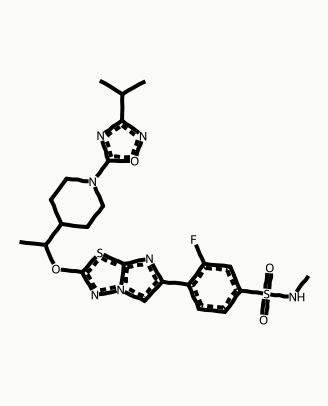 CNS(=O)(=O)c1ccc(-c2cn3nc(OC(C)C4CCN(c5nc(C(C)C)no5)CC4)sc3n2)c(F)c1